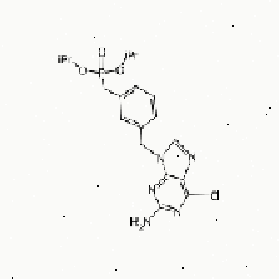 CC(C)OP(=O)(Cc1cccc(Cn2cnc3c(Cl)nc(N)nc32)c1)OC(C)C